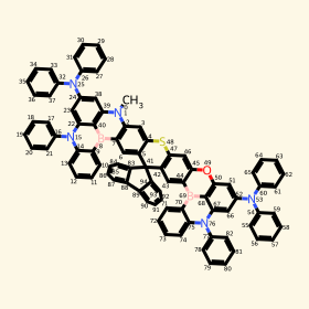 CN1c2cc3c(cc2B2c4ccccc4N(c4ccccc4)c4cc(N(c5ccccc5)c5ccccc5)cc1c42)C1(c2cc4c(cc2S3)Oc2cc(N(c3ccccc3)c3ccccc3)cc3c2B4c2ccccc2N3c2ccccc2)c2ccccc2-c2ccccc21